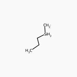 [CH2][SiH2]CCC